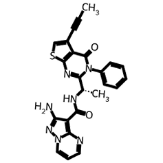 CC#Cc1csc2nc([C@H](C)NC(=O)c3c(N)nn4cccnc34)n(-c3ccccc3)c(=O)c12